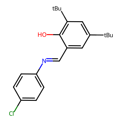 CC(C)(C)c1cc(C=Nc2ccc(Cl)cc2)c(O)c(C(C)(C)C)c1